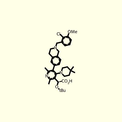 COc1cccc(CN2CCc3cc(-c4c(C)nc(C)c([C@H](OC(C)(C)C)C(=O)O)c4N4CCC(C)(C)CC4)ccc3C2)c1Cl